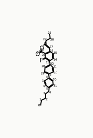 CCCCCc1ccc(-c2ccc(-c3ccc4cc(CCC)oc(=O)c4c3F)cc2)cc1